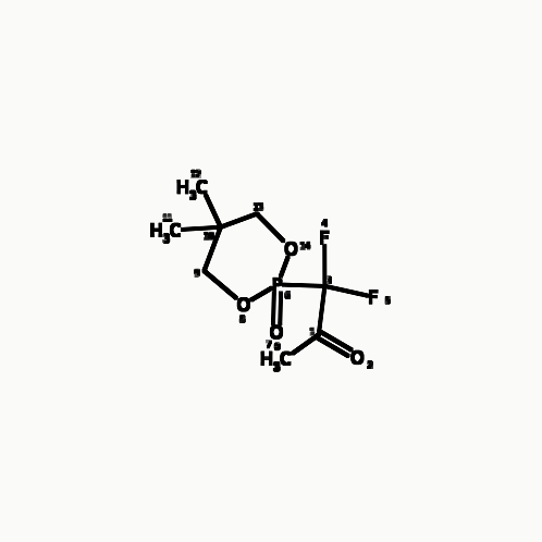 CC(=O)C(F)(F)P1(=O)OCC(C)(C)CO1